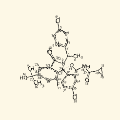 CC(c1ccc(Cl)cn1)N1C(=O)c2cc(C(C)(C)O)cc(F)c2[C@]1(OCNC(=O)C1CC1)c1ccc(Cl)cc1